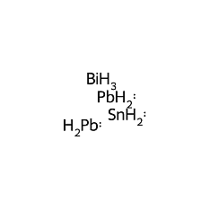 [BiH3].[PbH2].[PbH2].[SnH2]